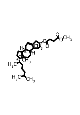 COC(=O)CCC(=O)O[C@H]1CC[C@@]2(C)C(=CC[C@H]3[C@@H]4CC[C@H](C(C)CCCC(C)C)[C@@]4(C)CC[C@@H]32)C1